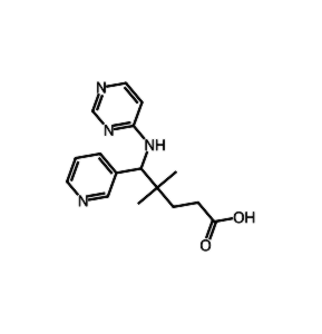 CC(C)(CCC(=O)O)C(Nc1ccncn1)c1cccnc1